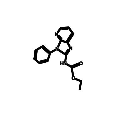 CCOC(=O)Nc1nc2cccnc2n1-c1ccccc1